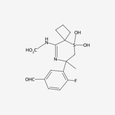 CC1(c2cc(C=O)ccc2F)CS(O)(O)C2(CCC2)C(NC(=O)O)=N1